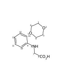 C1COCCO1.O=C(O)CNc1ccccc1